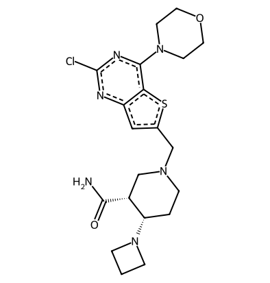 NC(=O)[C@@H]1CN(Cc2cc3nc(Cl)nc(N4CCOCC4)c3s2)CC[C@@H]1N1CCC1